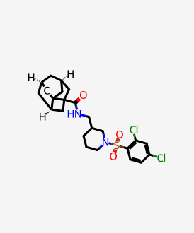 O=C(NCC1CCCN(S(=O)(=O)c2ccc(Cl)cc2Cl)C1)C12C[C@@H]3C[C@@H]4C[C@H](C1)C2(C4)C3